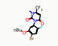 CCCCOc1cc(-n2c(=O)cc(C(F)(F)F)n(C)c2=O)c(F)cc1Br